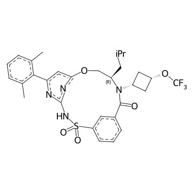 Cc1cccc(C)c1-c1cc2nc(n1)NS(=O)(=O)c1cccc(c1)C(=O)N([C@H]1C[C@@H](OC(F)(F)F)C1)[C@H](CC(C)C)CO2